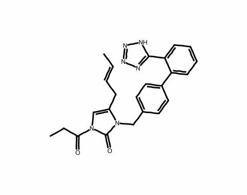 CC=CCc1cn(C(=O)CC)c(=O)n1Cc1ccc(-c2ccccc2-c2nnn[nH]2)cc1